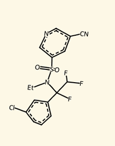 CCN(C(F)(c1cccc(Cl)c1)C(F)F)S(=O)(=O)c1cncc(C#N)c1